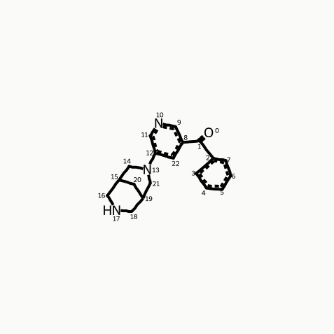 O=C(c1ccccc1)c1cncc(N2CC3CNCC(C3)C2)c1